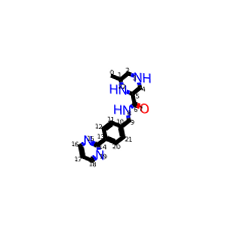 CC1CNCC(C(=O)NCc2ccc(-c3ncccn3)cc2)N1